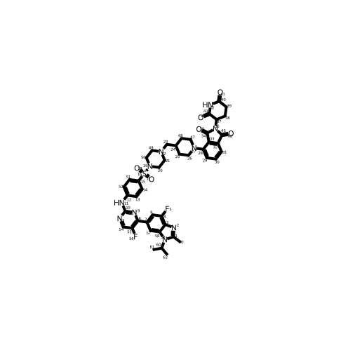 Cc1nc2c(F)cc(-c3nc(Nc4ccc(S(=O)(=O)N5CCN(CC6CCN(c7cccc8c7C(=O)N(C7CCC(=O)NC7=O)C8=O)CC6)CC5)cc4)ncc3F)cc2n1C(C)C